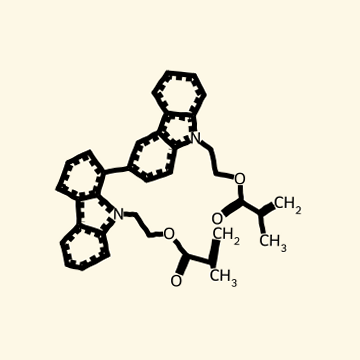 C=C(C)C(=O)OCCn1c2ccccc2c2cc(-c3cccc4c5ccccc5n(CCOC(=O)C(=C)C)c34)ccc21